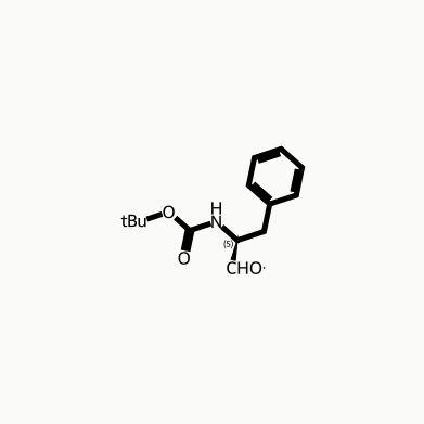 CC(C)(C)OC(=O)N[C@H]([C]=O)Cc1ccccc1